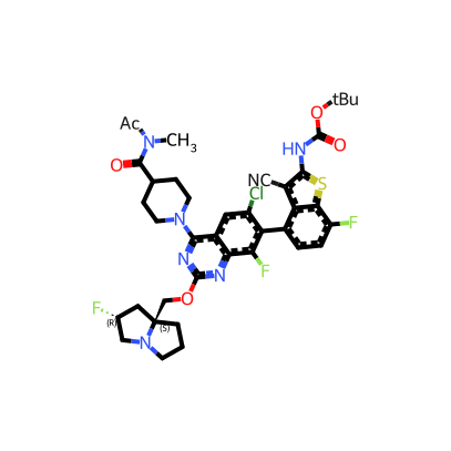 CC(=O)N(C)C(=O)C1CCN(c2nc(OC[C@@]34CCCN3C[C@H](F)C4)nc3c(F)c(-c4ccc(F)c5sc(NC(=O)OC(C)(C)C)c(C#N)c45)c(Cl)cc23)CC1